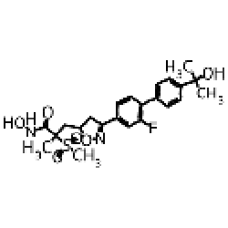 CC(C)(O)c1ccc(-c2ccc(C3=NOC(CC(C)(C(=O)NO)S(C)(=O)=O)C3)cc2F)cc1